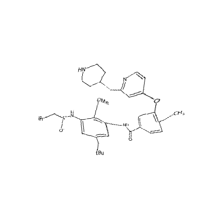 COc1c(NC(=O)c2ccc(C)c(Oc3ccnc(CC4CCNCC4)c3)c2)cc(C(C)(C)C)cc1N[S+]([O-])CC(C)C